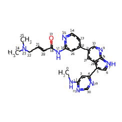 CNc1cc(-c2c[nH]c3ncc(-c4ccnc(NC(=O)C=CCN(C)C)c4)cc23)ncn1